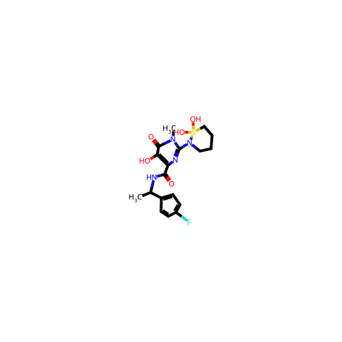 CC(NC(=O)c1nc(N2CCCCS2(O)O)n(C)c(=O)c1O)c1ccc(F)cc1